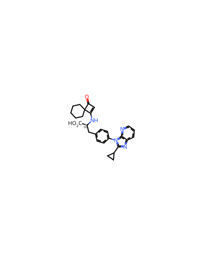 O=C(O)[C@H](Cc1ccc(-n2c(C3CC3)nc3cccnc32)cc1)NC1=CC(=O)C12CCCCC2